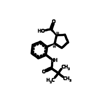 CC(C)(C)C(=O)Nc1ccccc1[C@@H]1CCC[C@@H]1C(=O)O